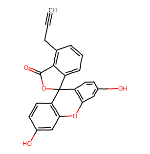 C#CCc1cccc2c1C(=O)OC21c2ccc(O)cc2Oc2cc(O)ccc21